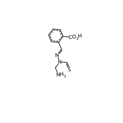 NCN(C=S)/N=C/c1ccccc1C(=O)O